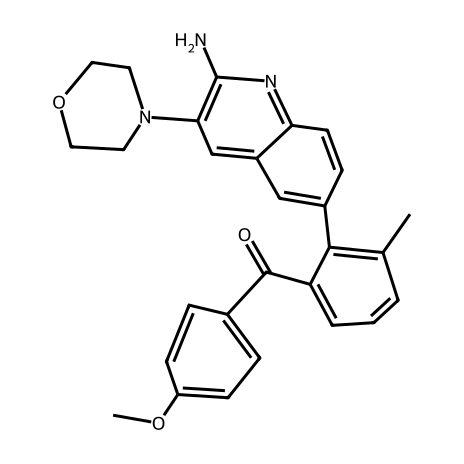 COc1ccc(C(=O)c2cccc(C)c2-c2ccc3nc(N)c(N4CCOCC4)cc3c2)cc1